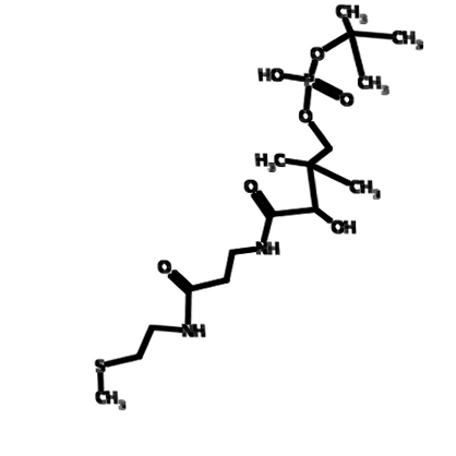 CSCCNC(=O)CCNC(=O)C(O)C(C)(C)COP(=O)(O)OC(C)(C)C